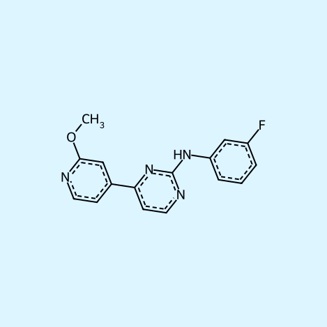 COc1cc(-c2ccnc(Nc3cccc(F)c3)n2)ccn1